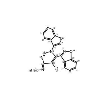 CCCCCCN=c1nnn(-c2noc3ccccc23)c(-c2noc3ccccc23)c1CC